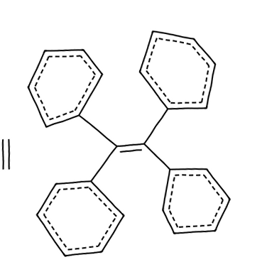 C=C.c1ccc(C(=C(c2ccccc2)c2ccccc2)c2ccccc2)cc1